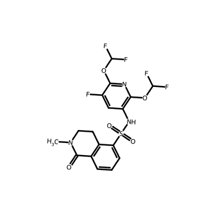 CN1CCc2c(cccc2S(=O)(=O)Nc2cc(F)c(OC(F)F)nc2OC(F)F)C1=O